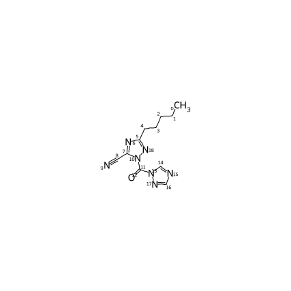 CCCCCc1nc(C#N)n(C(=O)n2cncn2)n1